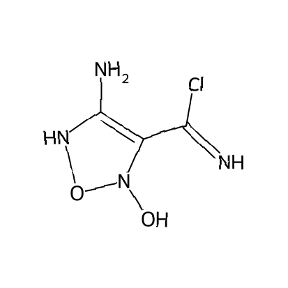 N=C(Cl)C1=C(N)NON1O